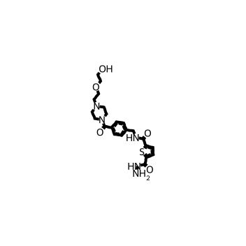 NNC(=O)c1ccc(C(=O)NCc2ccc(C(=O)N3CCN(CCOCCO)CC3)cc2)s1